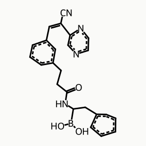 N#CC(=Cc1cccc(CCC(=O)NC(Cc2ccccc2)B(O)O)c1)c1cnccn1